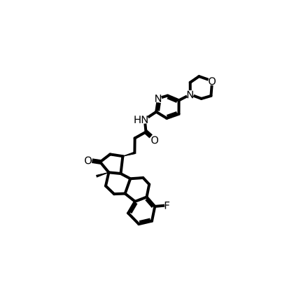 C[C@]12CCC3c4cccc(F)c4CCC3C1[C@H](CCC(=O)Nc1ccc(N3CCOCC3)cn1)CC2=O